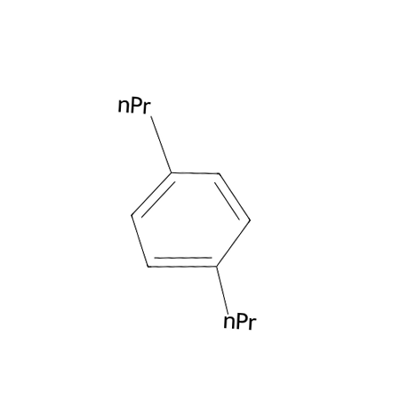 [CH2]CCc1ccc(CC[CH2])cc1